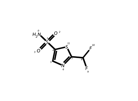 NS(=O)(=O)c1cnc(C(F)F)s1